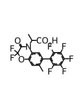 Cc1cc2c(cc1-c1c(F)c(F)c(F)c(F)c1F)N(C(C)C(=O)O)C(=O)C(F)(F)O2